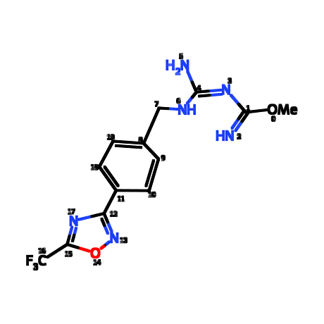 COC(=N)/N=C(/N)NCc1ccc(-c2noc(C(F)(F)F)n2)cc1